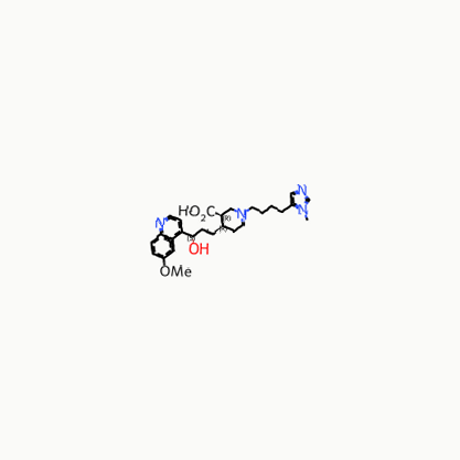 COc1ccc2nccc([C@@H](O)CC[C@@H]3CCN(CCCCc4cncn4C)C[C@@H]3C(=O)O)c2c1